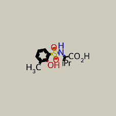 Cc1cccc(S(=O)(=O)N[C@@H](C(=O)O)C(C)C)c1O